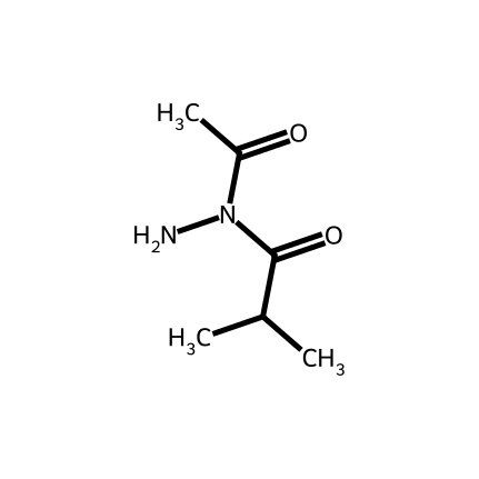 CC(=O)N(N)C(=O)C(C)C